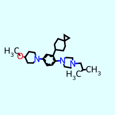 COC1CCN(c2ccc(N3CCN(CC(C)C)CC3)c(C3CCC4(CC3)CC4)c2)CC1